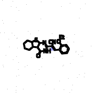 CCOc1ccccc1/C=C(\C#N)C1=NC2SC3CCCCC3C2C(=O)N1